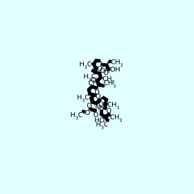 CCOC(=O)C(=O)N[C@@H]1C=C[C@]2(O[C@H](C(CC)C(=O)[C@@H](C)[C@@H](O)C3(C)C[C@]34O[C@@H]([C@@H](CC)C(=O)O)CC[C@@H]4C)[C@@H](C)C[C@H]2C)O[C@@]12CC[C@@](C)([C@H]1CC[C@](O)(CC)[C@H](C)O1)O2